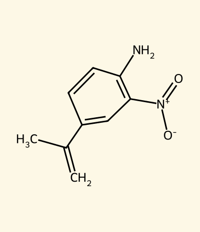 C=C(C)c1ccc(N)c([N+](=O)[O-])c1